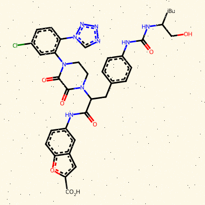 CCC(C)C(CO)NC(=O)Nc1ccc(CC(C(=O)Nc2ccc3oc(C(=O)O)cc3c2)N2CCN(c3cc(Cl)ccc3-n3cnnn3)C(=O)C2=O)cc1